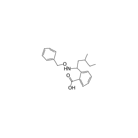 CCC(C)CC(NOCc1ccccc1)c1ccccc1C(=O)O